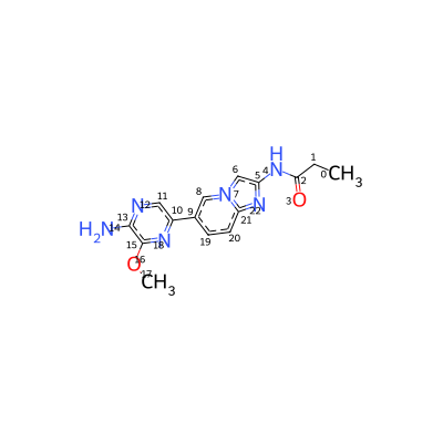 CCC(=O)Nc1cn2cc(-c3cnc(N)c(OC)n3)ccc2n1